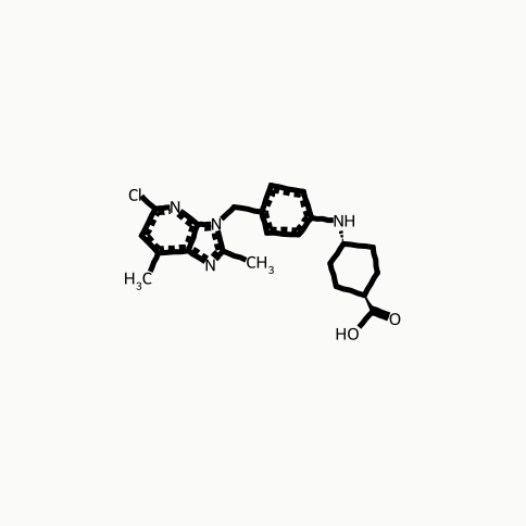 Cc1cc(Cl)nc2c1nc(C)n2Cc1ccc(N[C@H]2CC[C@H](C(=O)O)CC2)cc1